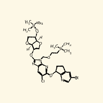 CC(C)(C)[Si](C)(C)O[C@@H]1CO[C@H]2[C@@H]1OC[C@H]2Oc1nc2cc(Cl)c(OC3CCc4cc(Br)cnc43)nc2n1COCC[Si](C)(C)C